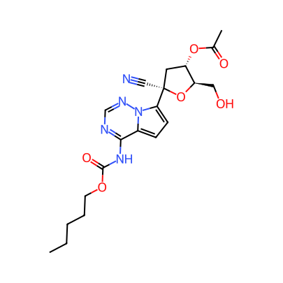 CCCCCOC(=O)Nc1ncnn2c([C@@]3(C#N)C[C@H](OC(C)=O)[C@@H](CO)O3)ccc12